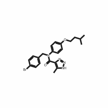 Cc1[nH]nnc1C(=O)N(Cc1ccc(Br)cc1)c1ccc(OCCC(C)C)cc1